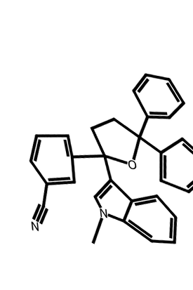 Cn1cc(C2(c3cccc(C#N)c3)CCC(c3ccccc3)(c3ccccc3)O2)c2ccccc21